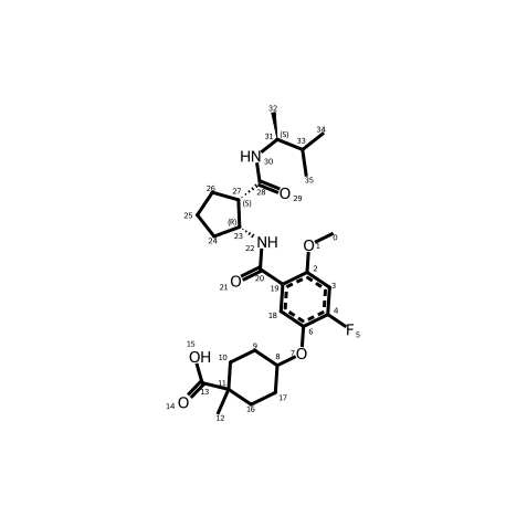 COc1cc(F)c(OC2CCC(C)(C(=O)O)CC2)cc1C(=O)N[C@@H]1CCC[C@@H]1C(=O)N[C@@H](C)C(C)C